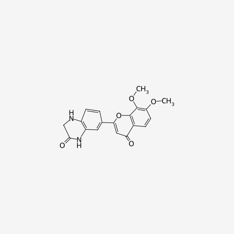 COc1ccc2c(=O)cc(-c3ccc4c(c3)NC(=O)CN4)oc2c1OC